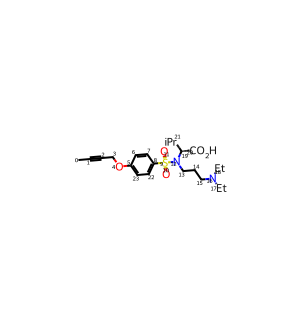 CC#CCOc1ccc(S(=O)(=O)N(CCCN(CC)CC)[C@H](C(=O)O)C(C)C)cc1